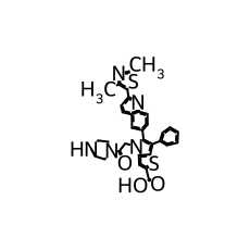 Cc1nc(C)c(-c2ccc3cc(-c4c(-c5ccccc5)c5sc(C(=O)O)cc5n4CC(=O)N4CCNCC4)ccc3n2)s1